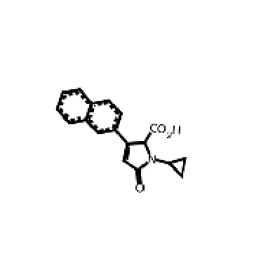 O=C(O)C1C(c2ccc3ccccc3c2)=CC(=O)N1C1CC1